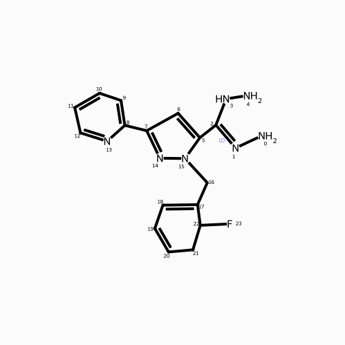 N/N=C(\NN)c1cc(-c2ccccn2)nn1CC1=CC=CCC1F